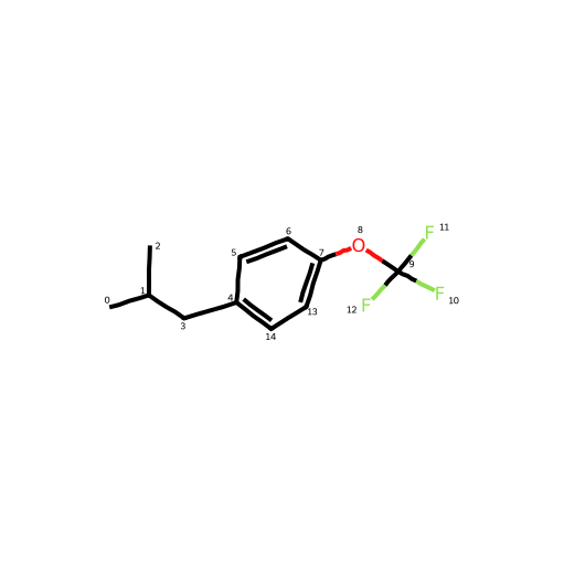 CC(C)Cc1ccc(OC(F)(F)F)cc1